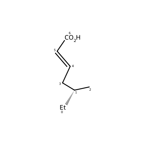 CC[C@@H](C)CC=CC(=O)O